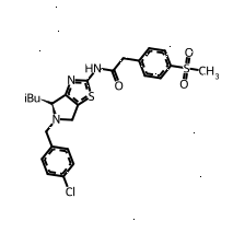 CC[C@H](C)[C@H]1c2nc(NC(=O)Cc3ccc(S(C)(=O)=O)cc3)sc2CN1Cc1ccc(Cl)cc1